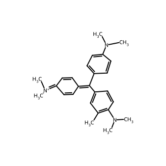 Cc1cc(C(=C2C=CC(=[N+](C)C)C=C2)c2ccc(N(C)C)cc2)ccc1N(C)C